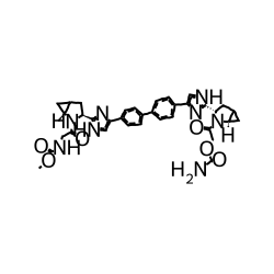 COC(=O)NCC(=O)N1[C@@H]2CC2C[C@H]1c1nc(-c2ccc(-c3ccc(-c4c[nH]c([C@@H]5CC6C[C@H]6N5C(=O)COC(N)=O)n4)cc3)cc2)c[nH]1